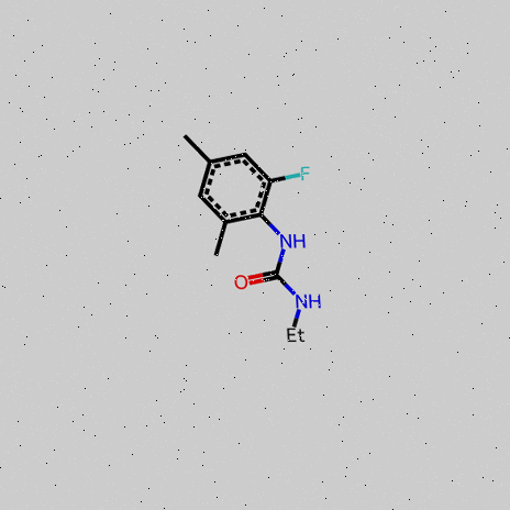 CCNC(=O)Nc1c(C)cc(C)cc1F